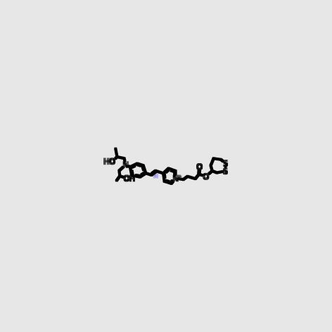 CC(O)CN(CC(C)O)c1ccc(/C=C/c2cc[n+](CCCC(=O)OC3CCCSSC3)cc2)cc1